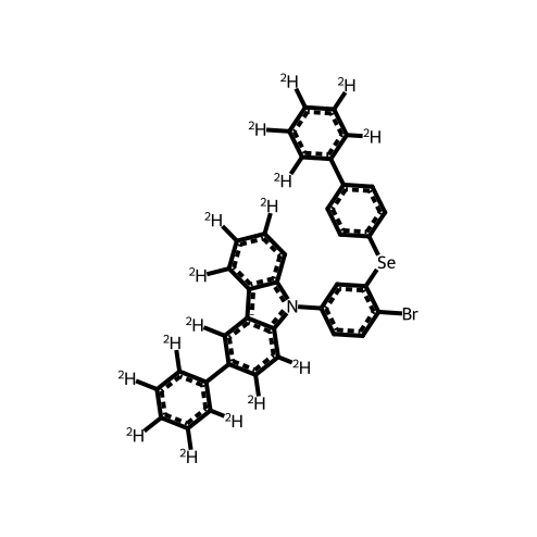 [2H]c1cc2c(c([2H])c1[2H])c1c([2H])c(-c3c([2H])c([2H])c([2H])c([2H])c3[2H])c([2H])c([2H])c1n2-c1ccc(Br)c([Se]c2ccc(-c3c([2H])c([2H])c([2H])c([2H])c3[2H])cc2)c1